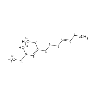 CC/C=C/CCC/C(=C/C(O)CC)CC